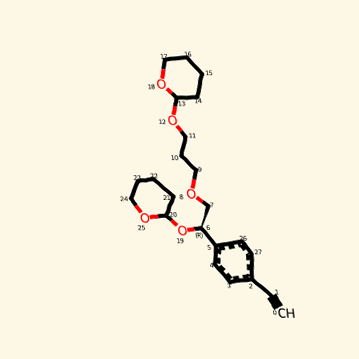 C#Cc1ccc([C@H](COCCCOC2CCCCO2)OC2CCCCO2)cc1